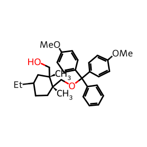 CCC1CC[C@@](C)(COC(c2ccccc2)(c2ccc(OC)cc2)c2ccc(OC)cc2)[C@@](C)(CO)C1